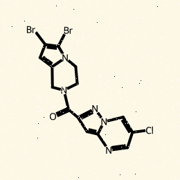 O=C(c1cc2ncc(Cl)cn2n1)N1CCn2c(cc(Br)c2Br)C1